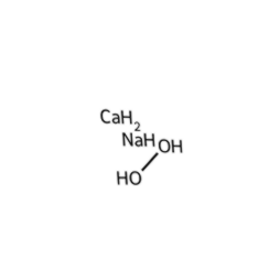 OO.[CaH2].[NaH]